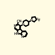 N#Cc1ncc2[nH]c3ncccc3c2c1N1CCC(N2CC[C@H](F)C2)CC1